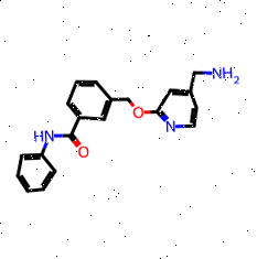 NCc1ccnc(OCc2cccc(C(=O)Nc3ccccc3)c2)c1